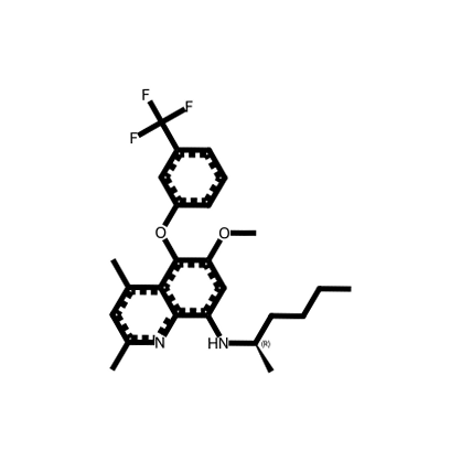 CCCC[C@@H](C)Nc1cc(OC)c(Oc2cccc(C(F)(F)F)c2)c2c(C)cc(C)nc12